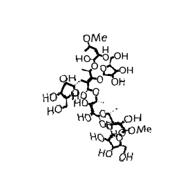 CO[C@H](C)/C=C(/O)[C@@H](O)O[C@H](C)/C(O[C@@H]1O[C@@H](CO)C(O)C1O)=C(\C[C@@H]1O[C@@H](CO)C(O)C1O)[C@@H](O)O[C@H](C)/C(O)=C(/O)[C@@H](O)O[C@H](C)/C(O[C@@H]1O[C@@H](CO)C(O)C1O)=C(\O)[C@@H](O)OC